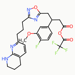 COc1cc(C(CC(=O)OC(=O)C(F)(F)F)Cc2nc(CCCc3ccc4c(n3)NCCC4)no2)ccc1F